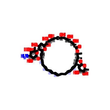 C[C@@H]1[C@H](OC2C[C@@H](O)[C@@H](O)[C@H](C)O2)[C@@H](C)/C=C/C=C/CC/C=C/C=C/C=C/C=C/[C@H](O[C@@H]2O[C@H](C)[C@@H](O)[C@H](N)[C@@H]2O)C[C@@H]2O[C@](O)(C[C@@H](O)[C@H](O)CC[C@@H](O)C[C@@H](O)C[C@@H](O)CC(=O)O[C@H]1C)C[C@H](O)[C@H]2C(=O)O